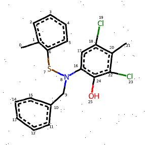 Cc1ccccc1SN(Cc1ccccc1)c1cc(Cl)c(C)c(Cl)c1O